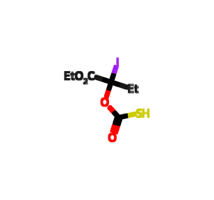 CCOC(=O)C(I)(CC)OC(=O)S